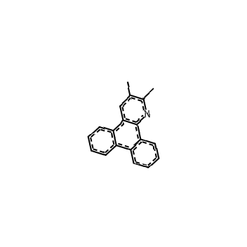 Cc1cc2c3ccccc3c3ccccc3c2nc1C